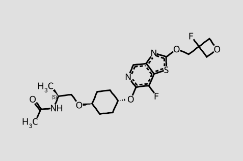 CC(=O)N[C@@H](C)CO[C@H]1CC[C@H](Oc2ncc3nc(OCC4(F)COC4)sc3c2F)CC1